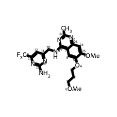 COCCCOc1cc2c(NCc3cc(C(F)(F)F)nc(N)n3)nc(C)nc2cc1OC